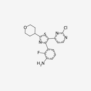 Nc1cccc(-c2nc(C3CCOCC3)sc2-c2ccnc(Cl)n2)c1F